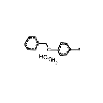 CO.Ic1ccc(OCc2ccccc2)cc1